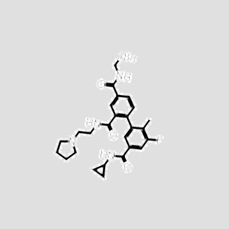 Cc1c(F)cc(C(=O)NC2CC2)cc1-c1ccc(C(=O)NCC(C)(C)C)cc1C(=O)NCCN1CCCC1